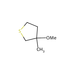 COC1(C)CCSC1